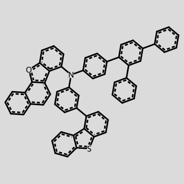 c1ccc(-c2ccc(-c3ccc(N(c4cccc(-c5cccc6sc7ccccc7c56)c4)c4cccc5oc6c7ccccc7ccc6c45)cc3)c(-c3ccccc3)c2)cc1